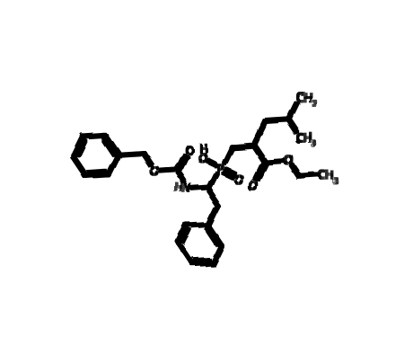 CCOC(=O)C(CC(C)C)CP(=O)(O)C(Cc1ccccc1)NC(=O)OCc1ccccc1